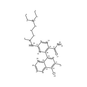 CCN(CC)CCCC(C)Nc1cnc(C(N)=O)c(-c2cc(C)c(Cl)c3cccnc23)n1